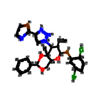 COC1C(n2cc(-c3nccs3)nn2)[C@H]2OC(c3ccccc3)OCC2O[C@@H]1Sc1cc(Br)ccc1Cl